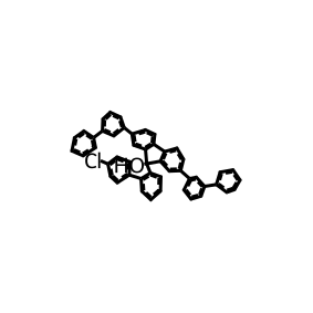 OC1(c2ccccc2-c2ccc(Cl)cc2)c2cc(-c3cccc(-c4ccccc4)c3)ccc2-c2ccc(-c3cccc(-c4ccccc4)c3)cc21